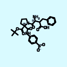 CC(C)(C)OC(=O)[C@@]1(C(=O)Nc2ccc([N+](=O)[O-])cc2)CCCN1C(=O)[C@@H](N)C(Cc1ccccc1)C(=O)O